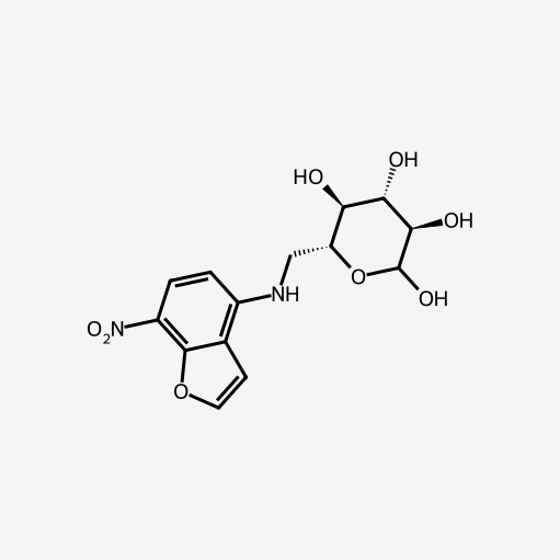 O=[N+]([O-])c1ccc(NC[C@H]2OC(O)[C@H](O)[C@@H](O)[C@@H]2O)c2ccoc12